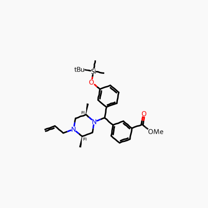 C=CCN1C[C@@H](C)N(C(c2cccc(O[Si](C)(C)C(C)(C)C)c2)c2cccc(C(=O)OC)c2)C[C@H]1C